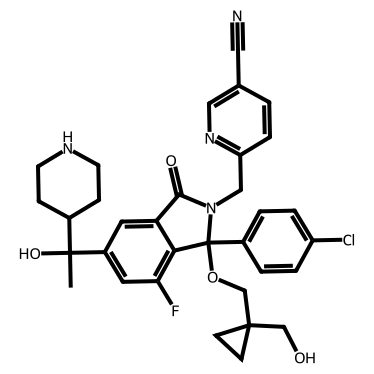 CC(O)(c1cc(F)c2c(c1)C(=O)N(Cc1ccc(C#N)cn1)C2(OCC1(CO)CC1)c1ccc(Cl)cc1)C1CCNCC1